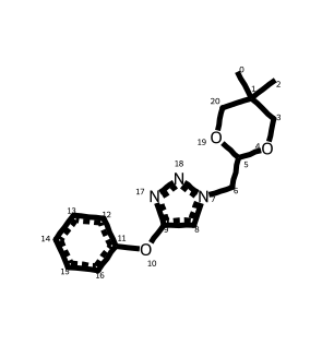 CC1(C)COC(Cn2cc(Oc3ccccc3)nn2)OC1